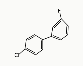 Fc1cccc(-c2ccc(Cl)cc2)c1